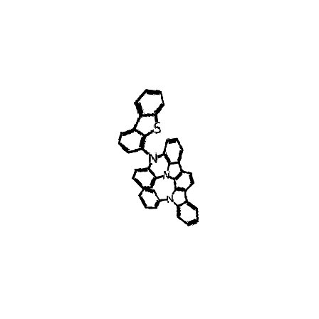 c1ccc(-n2c3ccccc3c3ccc4c5cccc6c5n(c4c32)-c2ccccc2N6c2cccc3c2sc2ccccc23)cc1